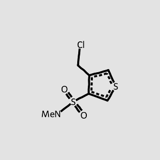 CNS(=O)(=O)c1cscc1CCl